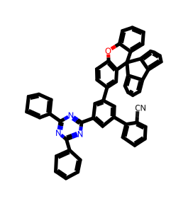 N#Cc1ccccc1-c1cc(-c2ccc3c(c2)C2(c4ccccc4O3)c3ccccc3-c3ccccc32)cc(-c2nc(-c3ccccc3)nc(-c3ccccc3)n2)c1